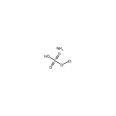 CCOS(=O)(=O)O.N